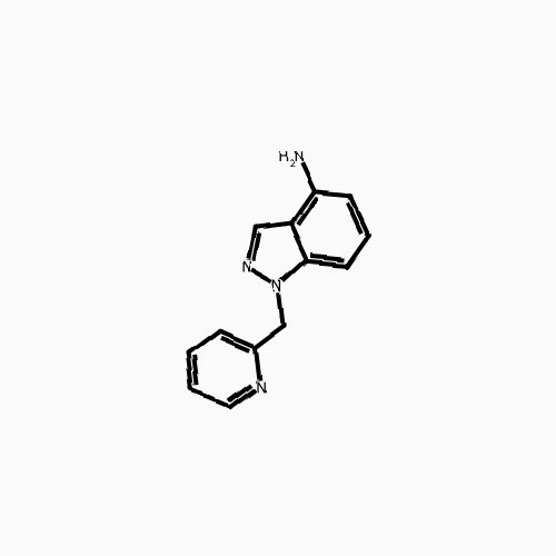 Nc1cccc2c1cnn2Cc1ccccn1